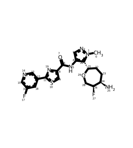 Cn1ncc(NC(=O)c2csc(-c3cncc(F)c3)n2)c1[C@@H]1CC[C@@H](N)[C@@H](F)CO1